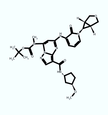 CO[C@@H]1CC[C@@H](NC(=O)c2cnn3c(N(C)C(=O)OC(C)(C)C)cc(Nc4cccn([C@H]5[C@@H]6COC[C@@H]65)c4=O)nc23)C1